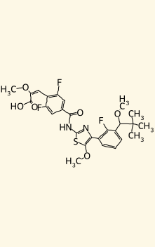 CO/C(=C/c1c(F)cc(C(=O)Nc2nc(-c3cccc(C(OC)C(C)(C)C)c3F)c(OC)s2)cc1F)C(=O)O